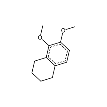 COc1ccc2c(c1OC)CCCC2